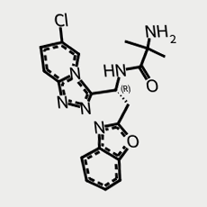 CC(C)(N)C(=O)N[C@H](Cc1nc2ccccc2o1)c1nnc2ccc(Cl)cn12